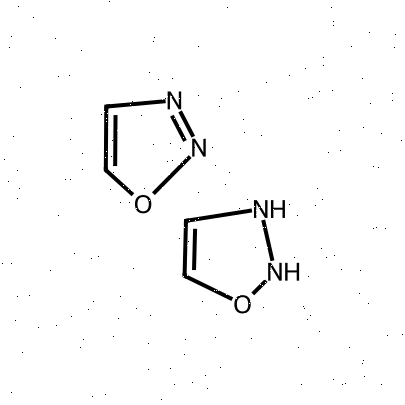 C1=CONN1.c1conn1